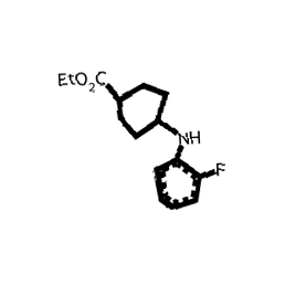 CCOC(=O)C1CCC(Nc2ccccc2F)CC1